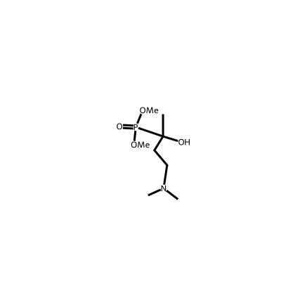 COP(=O)(OC)C(C)(O)CCN(C)C